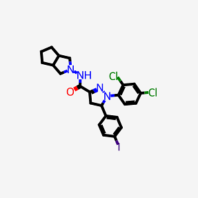 O=C(NN1CC2CCCC2C1)C1=NN(c2ccc(Cl)cc2Cl)C(c2ccc(I)cc2)C1